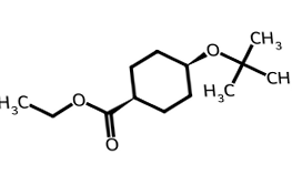 CCOC(=O)[C@H]1CC[C@@H](OC(C)(C)C)CC1